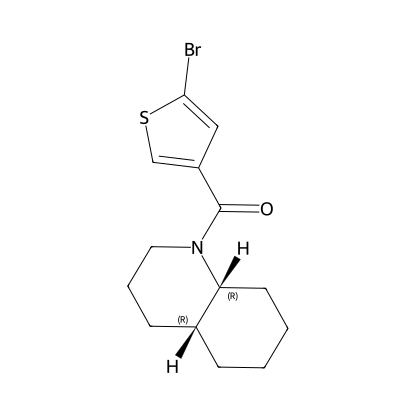 O=C(c1csc(Br)c1)N1CCC[C@H]2CCCC[C@H]21